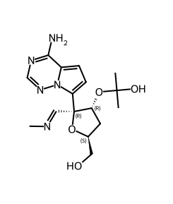 CN=C[C@@]1(c2ccc3c(N)ncnn23)O[C@H](CO)C[C@H]1OC(C)(C)O